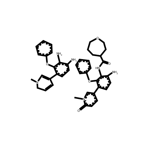 CN1C=C(c2ccc(N)c(N)c2Oc2ccccc2)C=CC1.Cn1cc(-c2ccc(N)c(NC(=O)C3CCCOCC3)c2Oc2ccccc2)ccc1=O